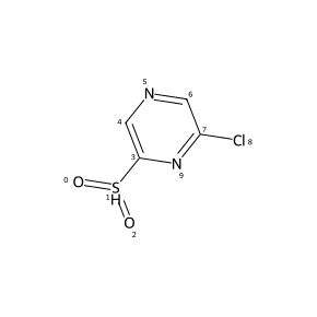 O=[SH](=O)c1cncc(Cl)n1